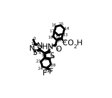 Cc1nsc(-c2c(NC(=O)C3=C(C(=O)O)C4CCCC(C3)C4)sc3c2CCC(F)(F)C3)n1